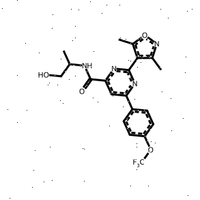 Cc1noc(C)c1-c1nc(C(=O)NC(C)CO)cc(-c2ccc(OC(F)(F)F)cc2)n1